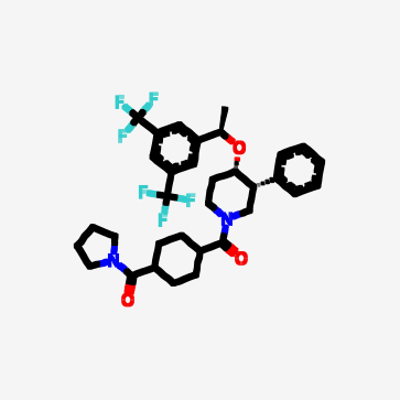 C[C@@H](O[C@H]1CCN(C(=O)C2CCC(C(=O)N3CCCC3)CC2)C[C@H]1c1ccccc1)c1cc(C(F)(F)F)cc(C(F)(F)F)c1